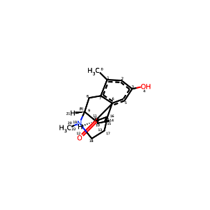 Cc1cc(O)cc2c1C[C@@H]1[C@@H]3C(=O)CCC[C@]23CCN1C